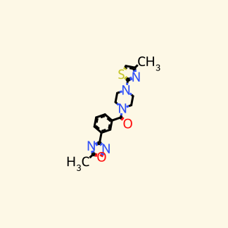 Cc1csc(N2CCN(C(=O)c3cccc(-c4noc(C)n4)c3)CC2)n1